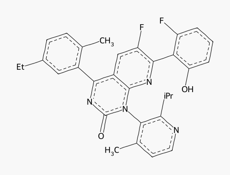 CCc1ccc(C)c(-c2nc(=O)n(-c3c(C)ccnc3C(C)C)c3nc(-c4c(O)cccc4F)c(F)cc23)c1